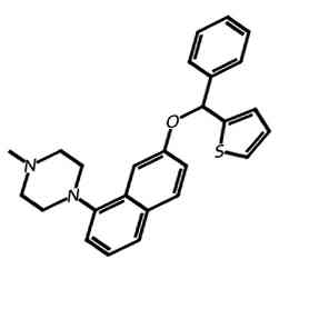 CN1CCN(c2cccc3ccc(OC(c4ccccc4)c4cccs4)cc23)CC1